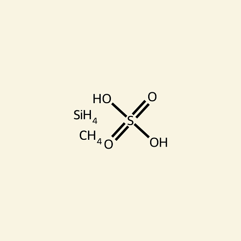 C.O=S(=O)(O)O.[SiH4]